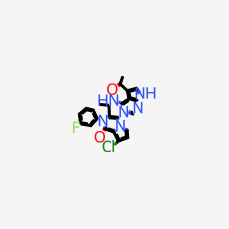 CC(=O)c1c[nH]c2ncnc(NC(C)c3cn4ccc(Cl)c4c(=O)n3-c3cccc(F)c3)c12